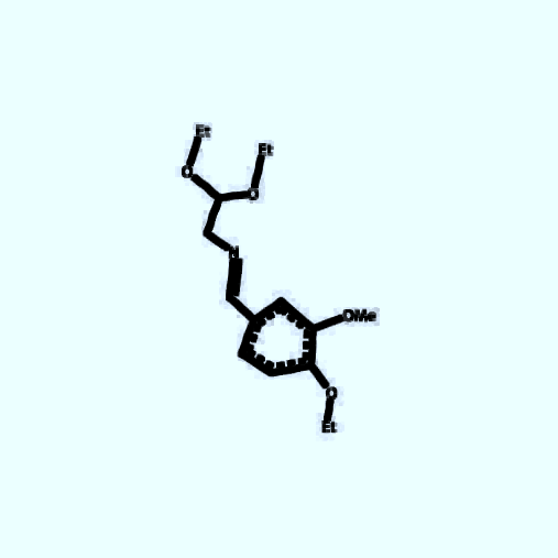 CCOc1ccc(C=NCC(OCC)OCC)cc1OC